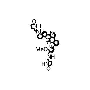 COc1nc(-c2cccc(-c3ccnc(-c4ccc5c(c4)CCCC5NCC4CCC(=O)N4)c3Cl)c2Cl)ccc1CNCC1CCC(=O)N1